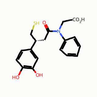 O=C(O)CN(C(=O)C[C@@H](CS)c1ccc(O)c(O)c1)c1ccccc1